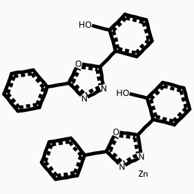 Oc1ccccc1-c1nnc(-c2ccccc2)o1.Oc1ccccc1-c1nnc(-c2ccccc2)o1.[Zn]